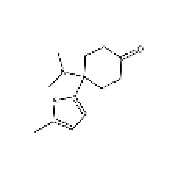 Cc1ccc(C2(N(C)C)CCC(=O)CC2)s1